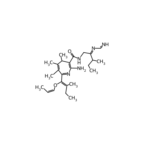 C/C=C\O/C(C1=NC(N)=C(C(=O)NC/C(=N/C=N)C(C)CC)C(C)C(C)=C1C)=C(/C)CC